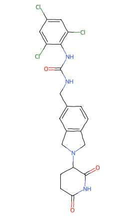 O=C1CCC(N2Cc3ccc(CNC(=O)Nc4c(Cl)cc(Cl)cc4Cl)cc3C2)C(=O)N1